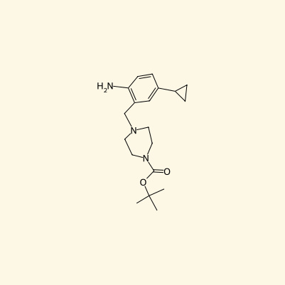 CC(C)(C)OC(=O)N1CCN(Cc2cc(C3CC3)ccc2N)CC1